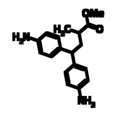 COC(=O)C(C)CC(c1ccc(N)cc1)c1ccc(N)cc1